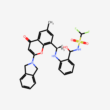 Cc1cc([C@@H](C)Nc2ccccc2C(O)NS(=O)(=O)C(F)F)c2oc(N3Cc4ccccc4C3)cc(=O)c2c1